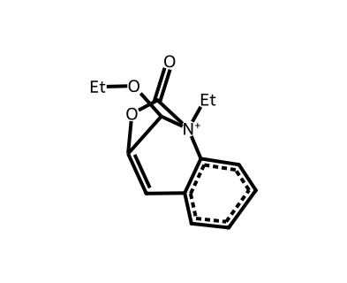 CCOC1C2=Cc3ccccc3[N+]1(CC)C(=O)O2